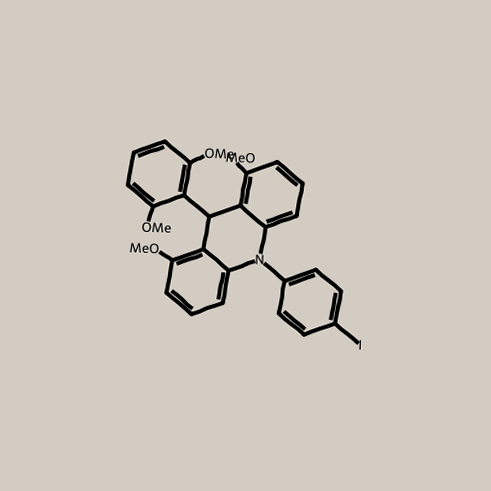 COc1cccc(OC)c1C1c2c(OC)cccc2N(c2ccc(I)cc2)c2cccc(OC)c21